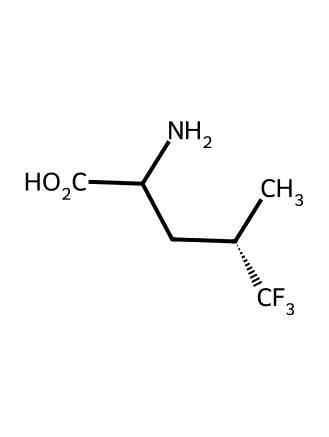 C[C@@H](CC(N)C(=O)O)C(F)(F)F